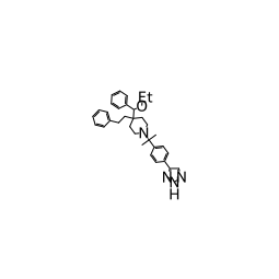 CCOC(c1ccccc1)C1(CCc2ccccc2)CCN(C(C)(C)c2ccc(-c3cn[nH]n3)cc2)CC1